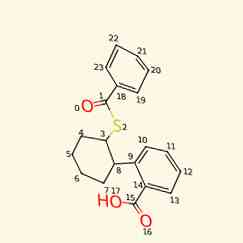 O=C(SC1CCCCC1c1ccccc1C(=O)O)c1ccccc1